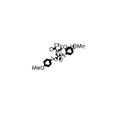 CCOC(=O)CN(CP(=O)(OSc1ccc(OC)cc1)OSc1ccc(OC)cc1)C(=O)C(F)(F)F